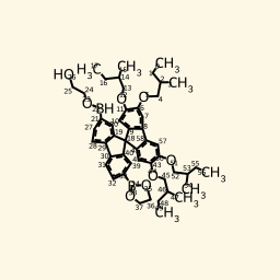 CCC(C)COc1cc2c(cc1OCC(C)CC)C1(c3cc(BOCCO)ccc3-c3ccc(B4OCCO4)cc31)c1cc(OCC(C)CC)c(OCC(C)CC)cc1-2